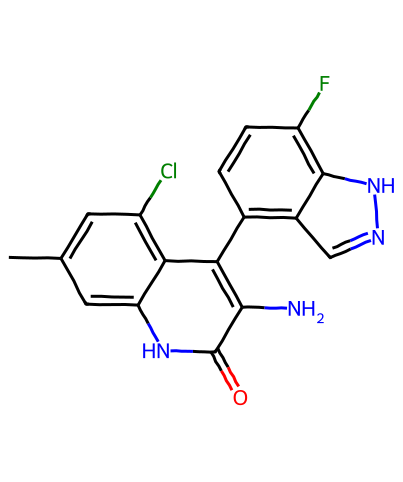 Cc1cc(Cl)c2c(-c3ccc(F)c4[nH]ncc34)c(N)c(=O)[nH]c2c1